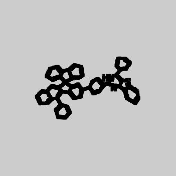 C1=CC(c2ccc3c(c2)C2(c4ccccc4-c4ccccc42)c2cc4ccccc4c(-c4ccccc4)c2-3)CC=C1C1N=c2c(sc3ccccc23)=C(c2ccccc2)N1